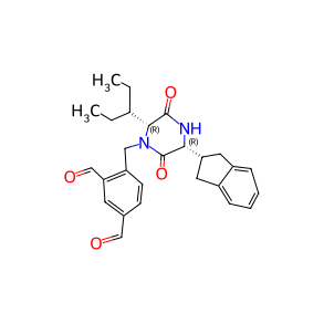 CCC(CC)[C@@H]1C(=O)N[C@H](C2Cc3ccccc3C2)C(=O)N1Cc1ccc(C=O)cc1C=O